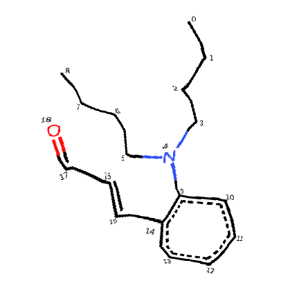 CCCCN(CCCC)c1ccccc1C=CC=O